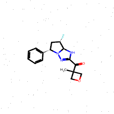 CC1(C(=O)C2=NN3C(N2)[C@@H](F)C[C@H]3c2ccccc2)COC1